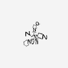 COC1CCN(C(C)(C)C(=C(C#N)C(=O)N2CCCCC2)n2cnc3cnccc32)C1